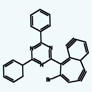 BrC1=CC#CC2C=CC#CC2=C1c1nc(-c2ccccc2)nc(C2C=CC=CC2)n1